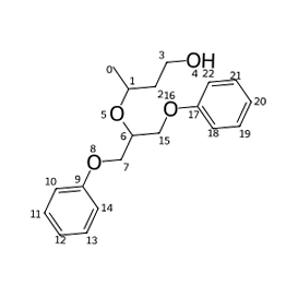 CC(CCO)OC(COc1ccccc1)COc1ccccc1